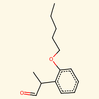 CCCCCOc1ccccc1C(C)C=O